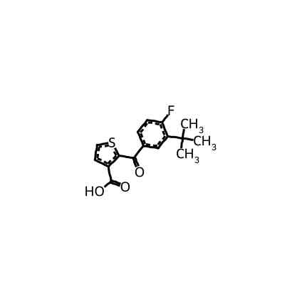 CC(C)(C)c1cc(C(=O)c2sccc2C(=O)O)ccc1F